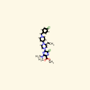 CC[C@H]1CN(c2nc(N(C)C)c(C(=O)OC)nc2Cl)CCN1C1CCN(Cc2ccc(Cl)cc2)CC1